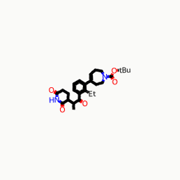 CCc1c(C(=O)C(C)C2CCC(=O)NC2=O)cccc1C1=CCCN(C(=O)OC(C)(C)C)CC1